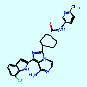 Cc1ccc(NC(=O)[C@H]2CC[C@H](c3nc(-c4cc5cccc(Cl)c5[nH]4)c4c(N)nccn43)CC2)cn1